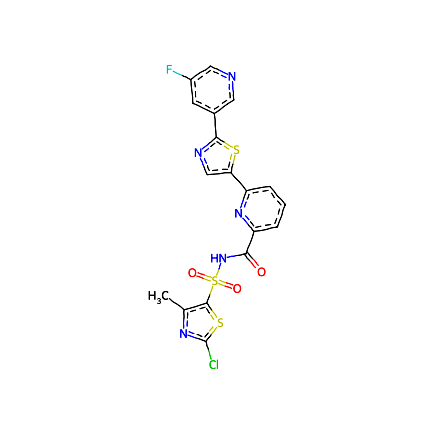 Cc1nc(Cl)sc1S(=O)(=O)NC(=O)c1cccc(-c2cnc(-c3cncc(F)c3)s2)n1